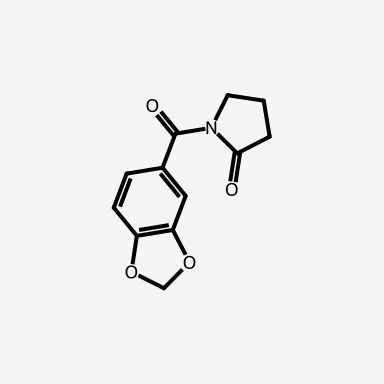 O=C1CCCN1C(=O)c1ccc2c(c1)OCO2